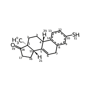 C[C@]12CC[C@H]3C(=CCc4cc(S)ccc43)[C@@H]1CCC2=O